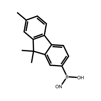 Cc1ccc2c(c1)C(C)(C)c1cc(B(O)N=O)ccc1-2